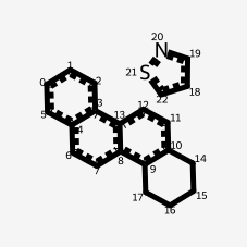 c1ccc2c(c1)ccc1c3c(ccc12)CCCC3.c1cnsc1